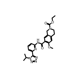 CCOC(=O)N1CCc2cc(OC)c(C(=O)Nc3cccc(-c4nnnn4C(C)C)n3)cc2C1